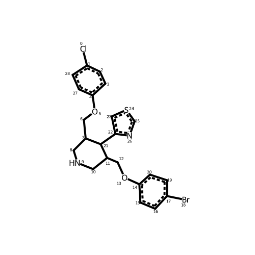 Clc1ccc(OCC2CNCC(COc3ccc(Br)cc3)C2c2cscn2)cc1